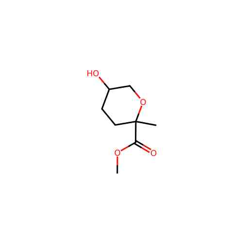 COC(=O)C1(C)CCC(O)CO1